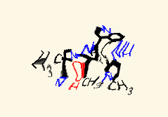 C=C1C=NC(C)=CC=C1Nc1ccc2nccc(-c3ccc(C(C)O)c(N4CCC(C)(C#N)C4)n3)c2c1